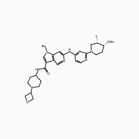 CCC(C)n1cc(C(=O)NC2CCN(C3COC3)CC2)c2cnc(Nc3ccnc(N4CC[C@@H](OC)[C@@H](F)C4)n3)cc21